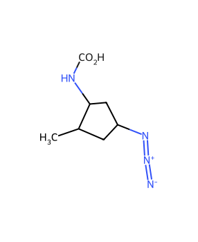 CC1CC(N=[N+]=[N-])CC1NC(=O)O